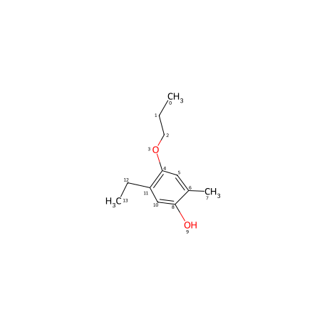 CCCOc1cc(C)c(O)cc1CC